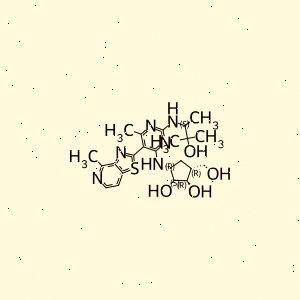 Cc1nc(N[C@@H](C)C(C)(C)O)nc(N[C@@H]2C[C@H](CO)[C@@H](O)[C@H]2O)c1-c1nc2c(C)nccc2s1